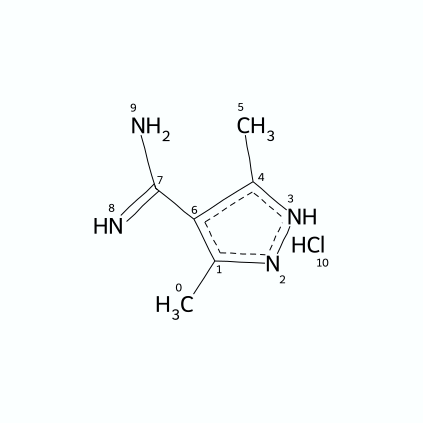 Cc1n[nH]c(C)c1C(=N)N.Cl